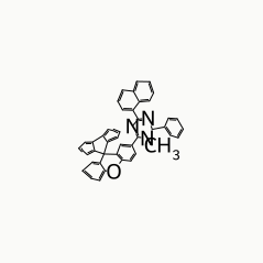 CN1C(c2ccc3c(c2)C2(c4ccccc4O3)c3ccccc3-c3ccccc32)=NC(c2cccc3ccccc23)=NC1c1ccccc1